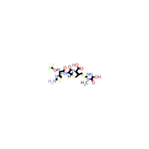 Cn1c(SCC2=C(C(=O)O)N3C(=O)C(NC(=O)/C(=N/OC(F)F)c4csc(N)n4)[C@H]3SC2)nnc(O)c1=O